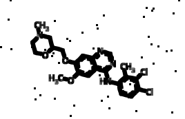 COc1cc2c(Nc3ccc(Cl)c(Cl)c3C)ncnc2cc1OCC1CN(C)CCO1